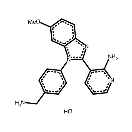 COc1ccc2nc(-c3cccnc3N)n(-c3ccc(CN)cc3)c2c1.Cl